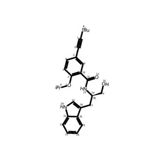 CC(C)Oc1ccc(C#CC(C)(C)C)cc1C(=O)N[C@@H](CO)Cc1c[nH]c2ccccc12